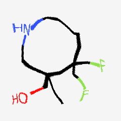 CC1(O)CNCCC1(F)F